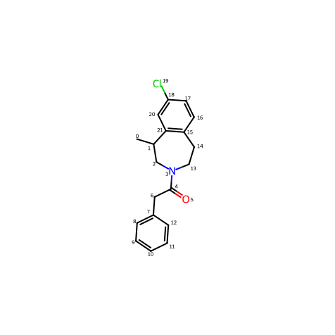 CC1CN(C(=O)Cc2ccccc2)CCc2ccc(Cl)cc21